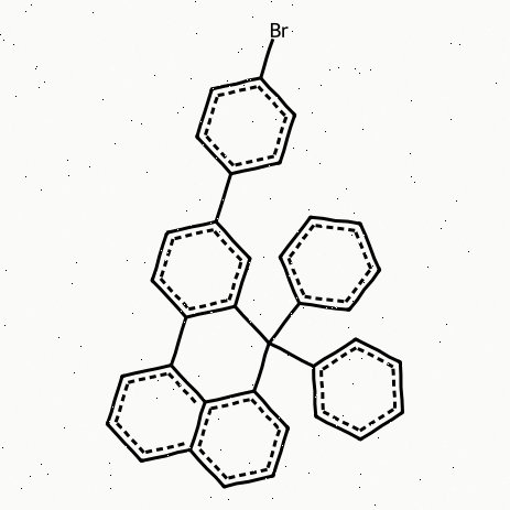 Brc1ccc(-c2ccc3c(c2)C(c2ccccc2)(c2ccccc2)c2cccc4cccc-3c24)cc1